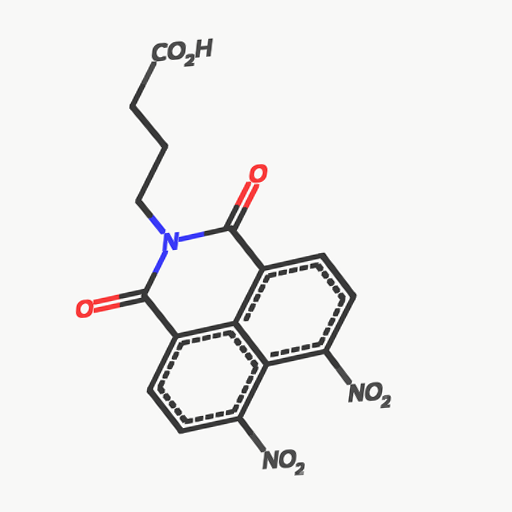 O=C(O)CCCN1C(=O)c2ccc([N+](=O)[O-])c3c([N+](=O)[O-])ccc(c23)C1=O